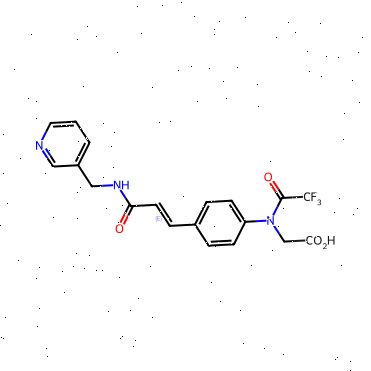 O=C(O)CN(C(=O)C(F)(F)F)c1ccc(/C=C/C(=O)NCc2cccnc2)cc1